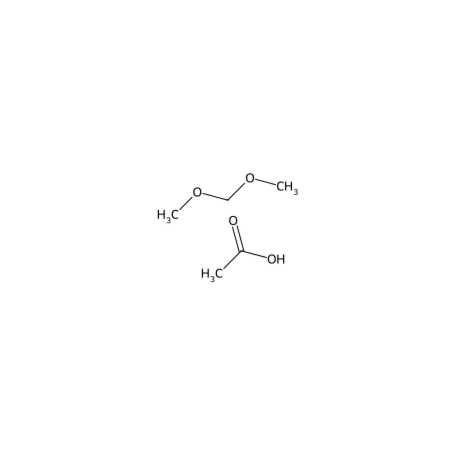 CC(=O)O.COCOC